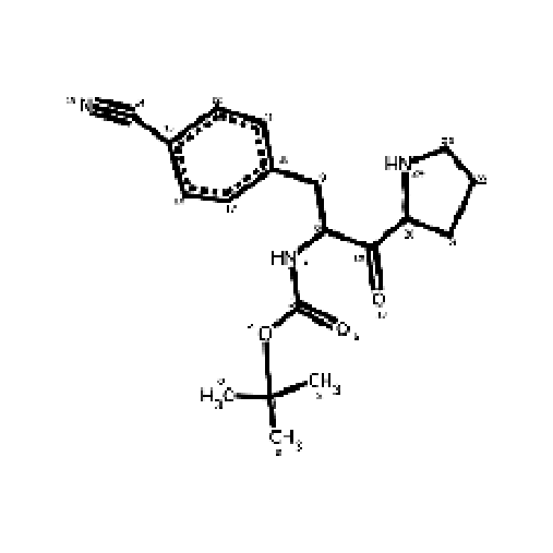 CC(C)(C)OC(=O)NC(Cc1ccc(C#N)cc1)C(=O)C1CCCN1